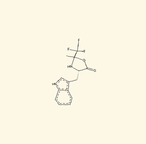 CC1(C(F)(F)F)N[C@@H](Cc2c[nH]c3ccccc23)C(=O)O1